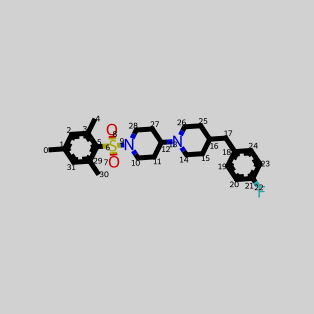 Cc1cc(C)c(S(=O)(=O)N2CCC(N3CCC(Cc4ccc(F)cc4)CC3)CC2)c(C)c1